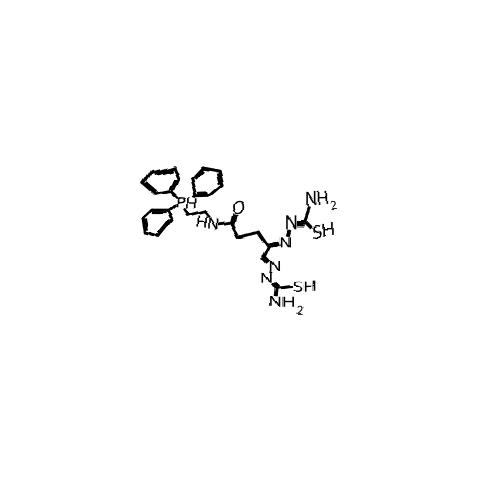 N/C(S)=N/N=C/C(CCC(=O)NCC[PH](c1ccccc1)(c1ccccc1)c1ccccc1)=N/N=C(/N)S